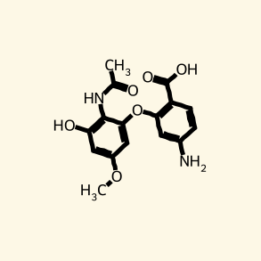 COc1cc(O)c(NC(C)=O)c(Oc2cc(N)ccc2C(=O)O)c1